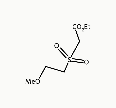 CCOC(=O)CS(=O)(=O)CCOC